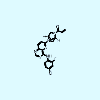 C=CC(=O)N1C[C@@H]2C[C@H]1CN2c1ccc2ncnc(Nc3ccc(Cl)cc3F)c2n1